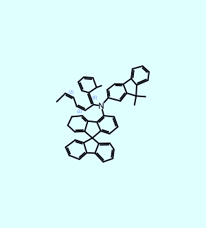 C\C=C/C=C\C(=C1/C=CC=CC1C)N(c1ccc2c(c1)C(C)(C)c1ccccc1-2)c1cccc2c1C1=CCCC=C1C21c2ccccc2-c2ccccc21